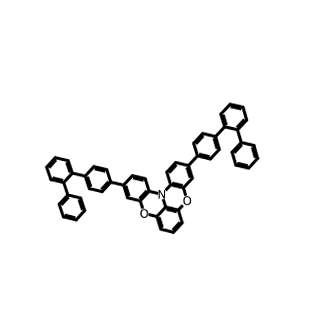 c1ccc(-c2ccccc2-c2ccc(-c3ccc4c(c3)Oc3cccc5c3N4c3ccc(-c4ccc(-c6ccccc6-c6ccccc6)cc4)cc3O5)cc2)cc1